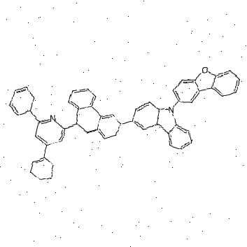 C1=CCC(c2cc(C3=CCCCC3)cc(C3CC4=CCC(C5=CC6c7ccccc7N(c7ccc8oc9ccccc9c8c7)C6C=C5)C=C4c4ccccc43)n2)C=C1